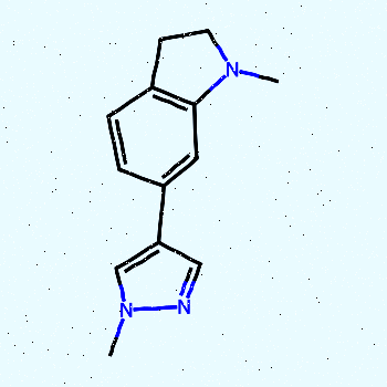 CN1CCc2ccc(-c3cnn(C)c3)cc21